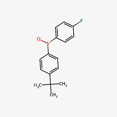 CC(C)(C)c1ccc([S+]([O-])c2ccc(F)cc2)cc1